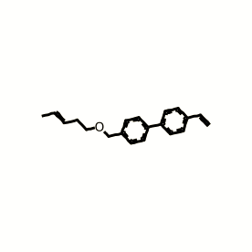 C=Cc1ccc(-c2ccc(COCC/C=C/C)cc2)cc1